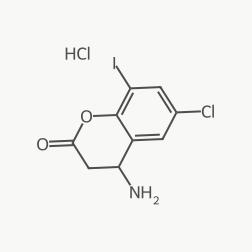 Cl.NC1CC(=O)Oc2c(I)cc(Cl)cc21